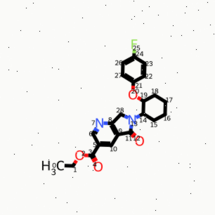 CCOC(=O)c1cnc2c(c1)C(=O)N(C1CCCCC1Oc1ccc(F)cc1)C2